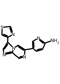 Nc1ccc(-c2cn3c(-c4cscn4)cnc3cn2)cn1